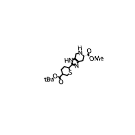 COC(=O)[C@@H]1Cc2nc(C3CCC(C(=O)OC(C)(C)C)CS3)[nH]c2CN1